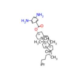 CC(C)CCCC(C)[C@H]1CC[C@@]2(C)C3CC=C4C[C@@H](OC(=O)c5cc(N)cc(N)c5)CC[C@]4(C)[C@@]3(C)CC[C@]12C